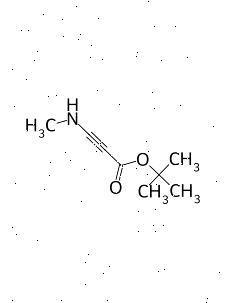 CNC#CC(=O)OC(C)(C)C